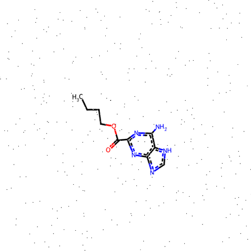 CCCCOC(=O)c1nc(N)c2[nH]cnc2n1